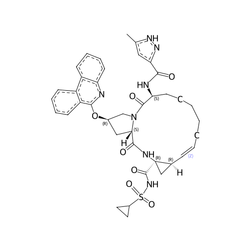 Cc1cc(C(=O)N[C@H]2CCCCC/C=C\[C@H]3C[C@@]3(C(=O)NS(=O)(=O)C3CC3)NC(=O)[C@@H]3C[C@@H](Oc4nc5ccccc5c5ccccc45)CN3C2=O)n[nH]1